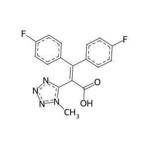 Cn1nnnc1C(C(=O)O)=C(c1ccc(F)cc1)c1ccc(F)cc1